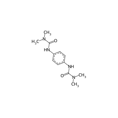 CN(C)C(=O)Nc1ccc(NC(=O)N(C)C)cc1